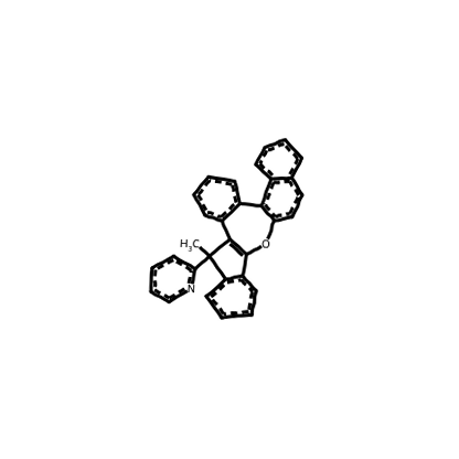 CC1(c2ccccn2)C2=C(Oc3ccc4ccccc4c3-c3ccccc32)c2ccccc21